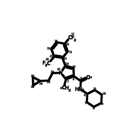 Cc1c(C(=O)NC2CCCCC2)cc(-c2cc(C(F)(F)F)ccc2C(F)(F)F)n1CCC1CC1